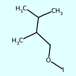 CC(C)C(C)COI